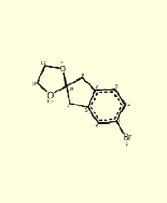 Brc1ccc2c(c1)CC1(C2)OCCO1